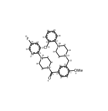 COc1ccc(C(=O)N2CCN(c3ccc(F)cn3)CC2)cc1CN1CCN(c2ccccc2Cl)CC1